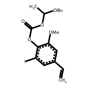 C=Cc1cc(I)c(OC(=O)OC(C)OCC(C)C)c(OC)c1